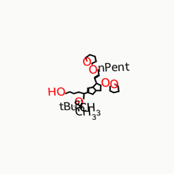 CCCCCC(C=CC1C(OC2CCCCO2)CC2CC(C(CCCCO)CO[Si](C)(C)C(C)(C)C)=CC21)OC1CCCCO1